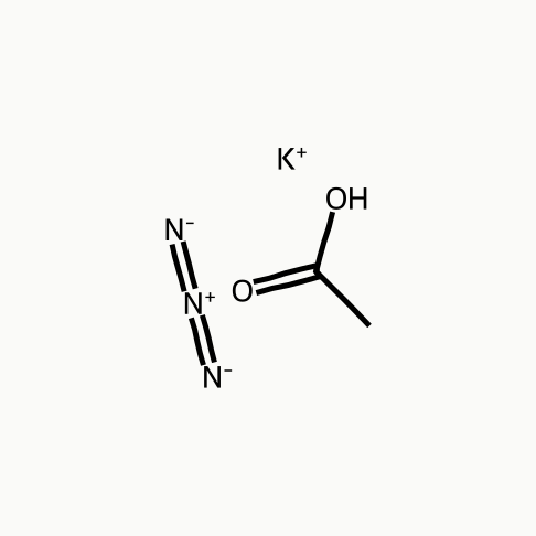 CC(=O)O.[K+].[N-]=[N+]=[N-]